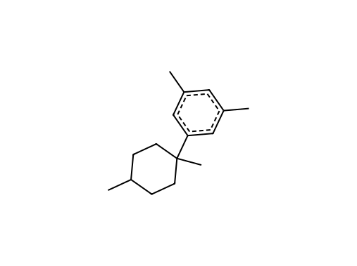 Cc1cc(C)cc(C2(C)CCC(C)CC2)c1